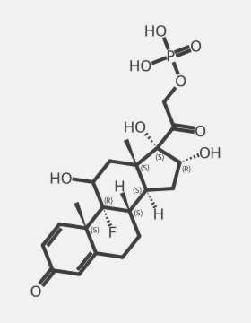 C[C@]12C=CC(=O)C=C1CC[C@H]1[C@@H]3C[C@@H](O)[C@](O)(C(=O)COP(=O)(O)O)[C@@]3(C)CC(O)[C@@]12F